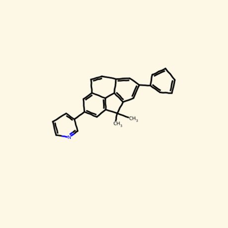 CC1(C)c2cc(-c3ccccc3)cc3ccc4cc(-c5cccnc5)cc1c4c23